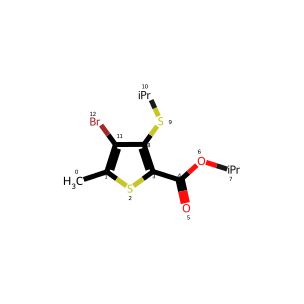 Cc1sc(C(=O)OC(C)C)c(SC(C)C)c1Br